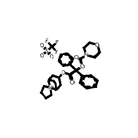 O=C(OC(C(=O)OC1CC2CCC(C1)[N+]21CCCC1)(c1ccccc1)c1ccccc1)N1CCOCC1.O=S(=O)([O-])C(F)(F)F